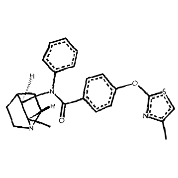 Cc1csc(Oc2ccc(C(=O)N(c3ccccc3)[C@@H]3C4CCN(CC4)[C@H]3C)cc2)n1